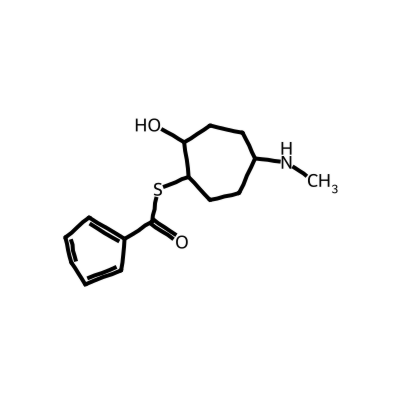 CNC1CCC(O)C(SC(=O)c2ccccc2)CC1